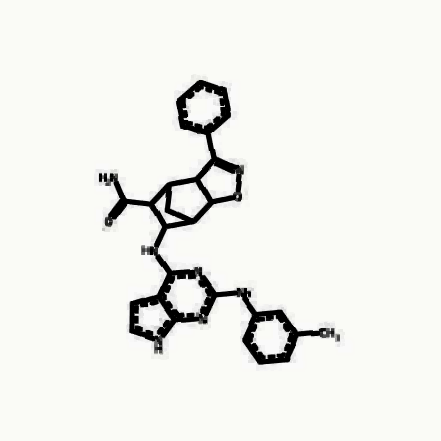 Cc1cccc(Nc2nc(NC3C4CC(C3C(N)=O)C3C(c5ccccc5)=NOC43)c3cc[nH]c3n2)c1